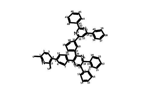 Cc1ccc(-c2ccc(-c3nc(-c4ccccc4)c(-c4ccccc4)nc3-c3cccc(-c4cc(-c5ccccc5)nc(-c5ccccc5)n4)c3)cc2)c(C)n1